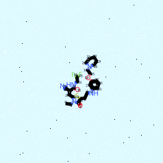 CCN1C(=O)C(CCNc2cccc(OCCN3CCCCC3)c2)SC1CC(C#N)C(=O)NCC(F)F